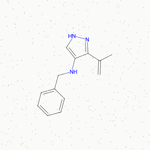 C=C(C)c1n[nH]cc1NCc1ccccc1